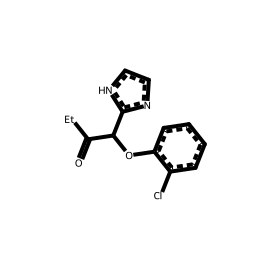 CCC(=O)C(Oc1ccccc1Cl)c1ncc[nH]1